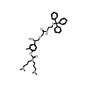 Cc1cc(C(O)COCC(=O)NCCSC(c2ccccc2)(c2ccccc2)c2ccccc2)ccc1OC(=O)N(CCCN(C)C)CCCN(C)C